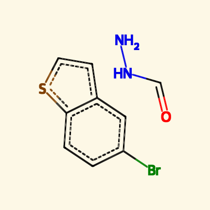 Brc1ccc2sccc2c1.NNC=O